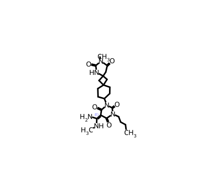 CCCCN1C(=O)/C(=C(/N)NC)C(=O)N(C2CCC3(CC2)CC2(CC(=O)N(C)C(=O)N2)C3)C1=O